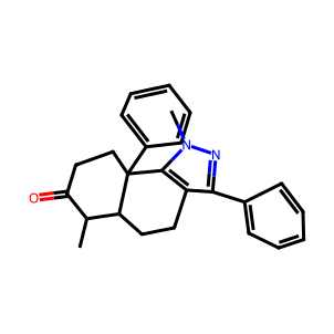 CC1C(=O)CCC2(c3ccccc3)c3c(c(-c4ccccc4)nn3C)CCC12